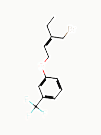 CCC(=CCOc1cccc(C(F)(F)F)c1)CBr